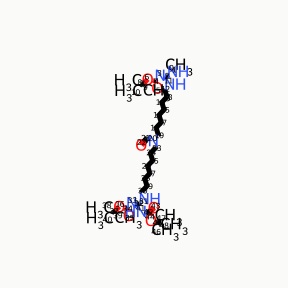 CNC(=NC(=O)OC(C)(C)C)NCCCCCCCCN(C=O)CCCCCCCCNC(=NC(=O)OC(C)(C)C)NC(=O)OC(C)(C)C